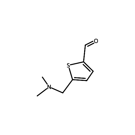 CN(C)Cc1ccc(C=O)s1